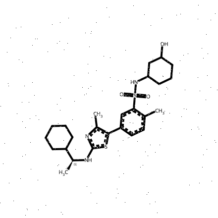 Cc1ccc(-c2sc(N[C@@H](C)C3CCCCC3)nc2C)cc1S(=O)(=O)NC1CCCC(O)C1